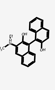 CC[Si@@H](C)c1cc2ccccc2c(-c2c(O)ccc3ccccc23)c1O